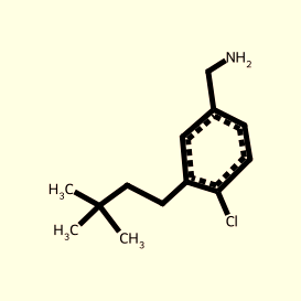 CC(C)(C)CCc1cc(CN)ccc1Cl